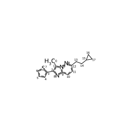 Cc1c(-c2cccs2)nc2ccc(CCC3CC3)nn12